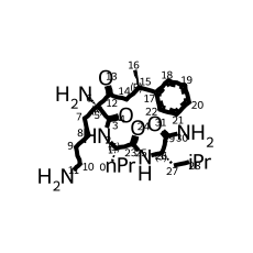 CCC[C@H](NC(=O)[C@@](N)(CCCCN)C(=O)C[C@@H](C)c1ccccc1)C(=O)N[C@@H](CC(C)C)C(N)=O